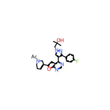 CC(=O)N1CCC=C(c2cc3c(-c4cn(CC(C)(C)O)nc4-c4ccc(F)cc4)ncnc3o2)C1